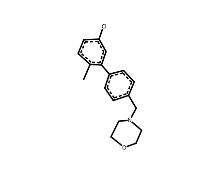 Cc1ccc(Cl)cc1-c1ccc(CN2CCOCC2)cc1